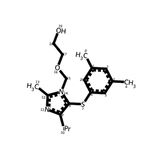 Cc1cc(C)cc(Sc2c(C(C)C)nc(C)n2COCCO)c1